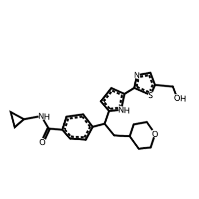 O=C(NC1CC1)c1ccc(C(CC2CCOCC2)c2ccc(-c3ncc(CO)s3)[nH]2)cc1